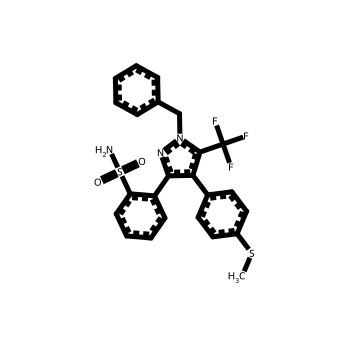 CSc1ccc(-c2c(-c3ccccc3S(N)(=O)=O)nn(Cc3ccccc3)c2C(F)(F)F)cc1